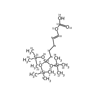 C[Si](C)(C)O[Si](CCCC=COC(=O)O)(O[Si](C)(C)C)O[Si](C)(C)C